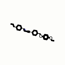 CCC[C@H]1CC[C@H](/C=C/C#C[C@H]2CC[C@H](COc3ccc(OCC)cc3)CC2)CC1